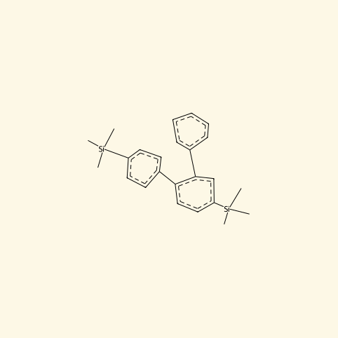 C[Si](C)(C)c1ccc(-c2ccc([Si](C)(C)C)cc2-c2ccccc2)cc1